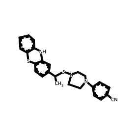 CC(SN1CCN(c2ccc(C#N)cc2)CC1)c1ccc2c(c1)Nc1ccccc1S2